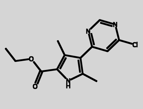 CCOC(=O)c1[nH]c(C)c(-c2cc(Cl)ncn2)c1C